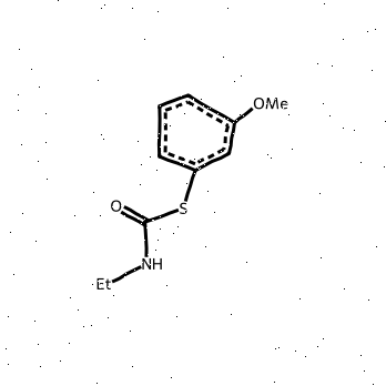 CCNC(=O)Sc1cccc(OC)c1